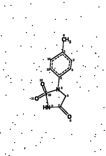 Cc1ccc(N2CC(=O)NS2(=O)=O)cc1